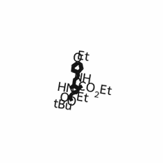 CCOC(=O)c1c(CNc2ccc(OCC)cc2)[nH]c(C(=O)OC(C)(C)C)c1CC